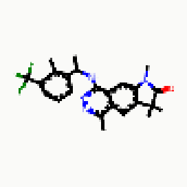 Cc1c(C(C)Nc2nnc(C)c3cc4c(cc23)N(C)C(=O)C4(C)C)cccc1C(F)(F)F